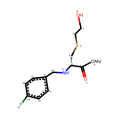 COC(=O)[C@@H](CSCCO)NCc1ccc(F)cc1